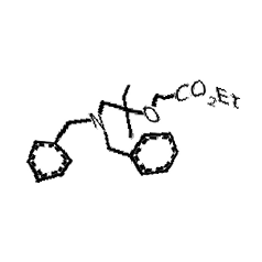 CCOC(=O)COC(C)(C)CN(Cc1ccccc1)Cc1ccccc1